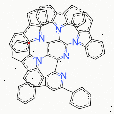 C1=Cc2c(c3ccccc3n2-c2c(-c3cc(-c4ccccc4)cc(-c4ccccc4)n3)nc(-n3c4ccccc4c4ccccc43)c(-n3c4ccccc4c4ccccc43)c2-n2c3ccccc3c3ccccc32)CC1